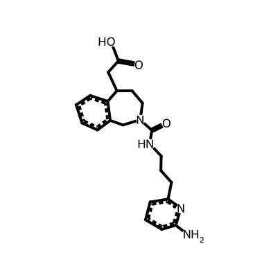 Nc1cccc(CCCNC(=O)N2CCC(CC(=O)O)c3ccccc3C2)n1